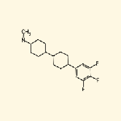 C=NC1CCC(C2CCC(c3cc(F)c(F)c(F)c3)CC2)CC1